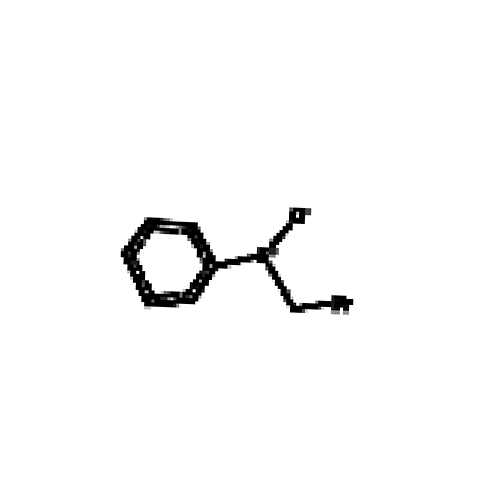 CC(C)C[S+]([O-])c1ccccc1